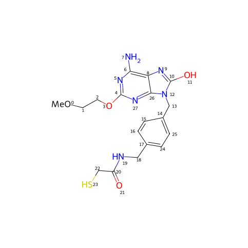 COCCOc1nc(N)c2nc(O)n(Cc3ccc(CNC(=O)CS)cc3)c2n1